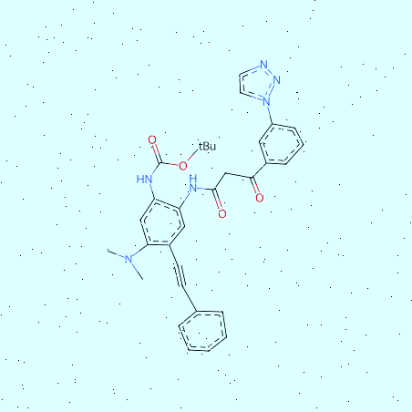 CN(C)c1cc(NC(=O)OC(C)(C)C)c(NC(=O)CC(=O)c2cccc(-n3ccnn3)c2)cc1C#Cc1ccccc1